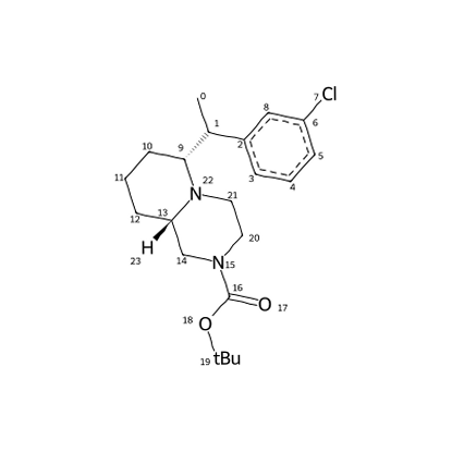 CC(c1cccc(Cl)c1)[C@H]1CCC[C@H]2CN(C(=O)OC(C)(C)C)CCN21